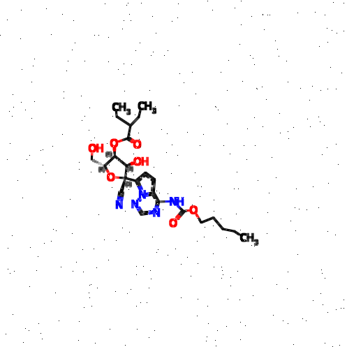 CCCCCOC(=O)Nc1ncnn2c([C@]3(C#N)O[C@H](CO)[C@@H](OC(=O)C(CC)CC)[C@H]3O)ccc12